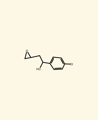 CCc1ccc(C(O)CC2CO2)cc1